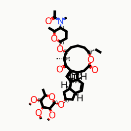 CC[C@H]1CCC[C@H](O[C@H]2CC[C@H](N(C)C(C)=O)C(C)O2)[C@@H](C)C(=O)C2=C[C@@H]3[C@@H](C=C[C@@H]4C[C@@H](O[C@@H]5OC(C)[C@H](OC)C(OC)C5OC)C[C@@H]34)[C@@H]2CC(=O)O1